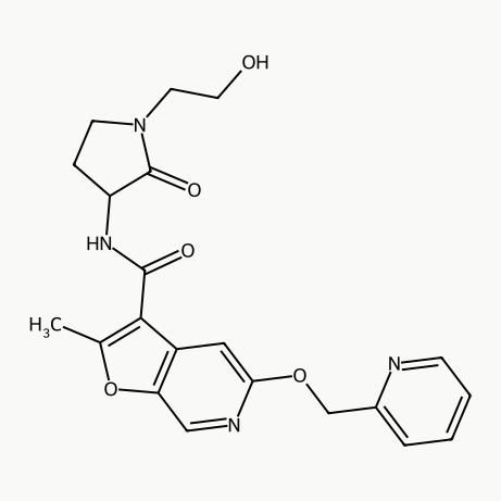 Cc1oc2cnc(OCc3ccccn3)cc2c1C(=O)NC1CCN(CCO)C1=O